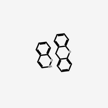 C1=Cc2ccccc2ON1.c1ccc2c(c1)Cc1ccccc1O2